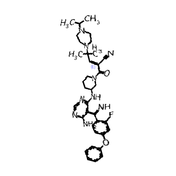 CC(C)N1CCN(C(C)(C)/C=C(\C#N)C(=O)N2CCCC(Nc3ncnc(N)c3C(=N)c3ccc(Oc4ccccc4)cc3F)C2)CC1